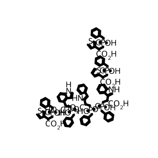 O=C(O)C(CP(=O)(O)Cc1ccccc1)c1c[nH]c2ccccc12.O=C(O)C(CP(=O)(O)Cc1ccccc1)c1cc2ccccc2[nH]1.O=C(O)C(CP(=O)(O)Cc1ccccc1)c1cccc2[nH]ccc12.O=C(O)C(CP(=O)(O)Cc1ccccc1)c1cccs1.O=C(O)C(CP(=O)(O)Cc1ccccc1)c1ccsc1.O=C(O)C(CP(=O)(O)Cc1ccccc1)c1ccsc1